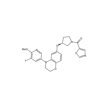 COc1ncc(N2CCOc3ccc(O[C@H]4CCN(C(=O)c5cnco5)C4)cc32)cc1F